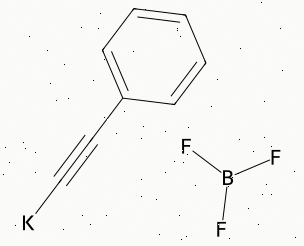 FB(F)F.[K][C]#Cc1ccccc1